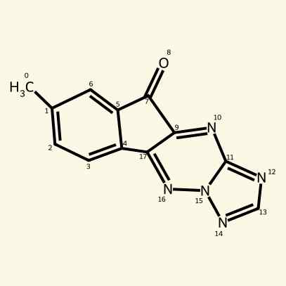 Cc1ccc2c(c1)C(=O)c1nc3ncnn3nc1-2